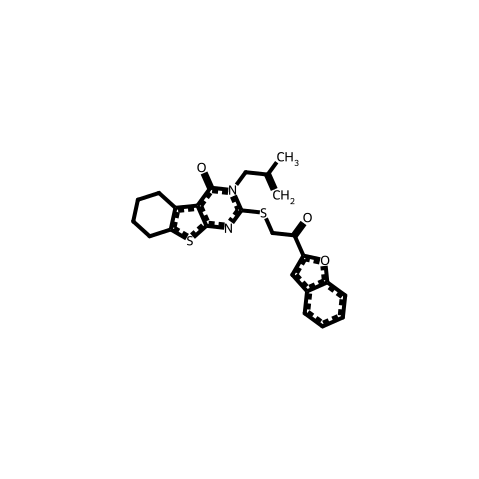 C=C(C)Cn1c(SCC(=O)c2cc3ccccc3o2)nc2sc3c(c2c1=O)CCCC3